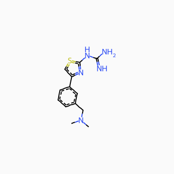 CN(C)Cc1cccc(-c2csc(NC(=N)N)n2)c1